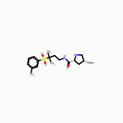 CO[C@H]1CN[C@@H](C(=O)NCCC(C)(C)S(=O)(=O)c2cccc(C(F)(F)F)c2)C1